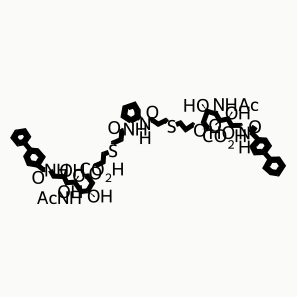 CC(=O)N[C@H]1[C@H]([C@H](O)[C@H](O)CNC(=O)c2ccc(-c3ccccc3)cc2)O[C@@](OCCCSCCC(=O)Nc2ccccc2NC(=O)CCSCCCO[C@]2(C(=O)O)C[C@H](O)[C@@H](NC(C)=O)[C@H]([C@H](O)[C@H](O)CNC(=O)c3ccc(-c4ccccc4)cc3)O2)(C(=O)O)C[C@@H]1O